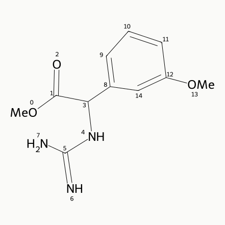 COC(=O)C(NC(=N)N)c1cccc(OC)c1